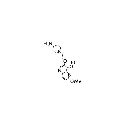 CCOc1c(OCCN2CCC(N)CC2)cnc2ccc(OC)nc12